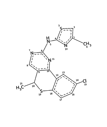 Cc1csc(Nc2ncc3c(n2)-c2cc(Cl)ccc2SC3C)n1